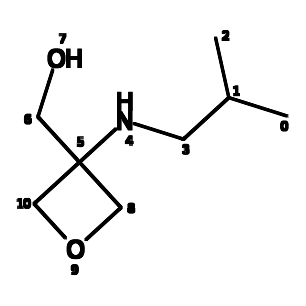 CC(C)CNC1(CO)COC1